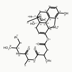 CC(=O)OC(CC(=O)OC1=CC[C@@]2(O)[C@H]3Cc4ccc(O)c5c4[C@@]2(CCN3C)[C@H]1O5)C(=O)OC(C)C(=O)NC(CC(C)C)C(=O)O